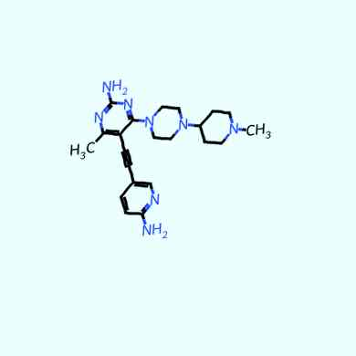 Cc1nc(N)nc(N2CCN(C3CCN(C)CC3)CC2)c1C#Cc1ccc(N)nc1